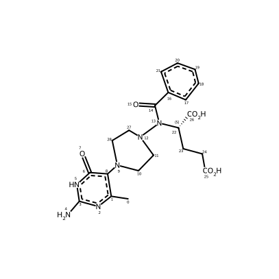 Cc1nc(N)[nH]c(=O)c1N1CCN(N(C(=O)c2ccccc2)[C@@H](CCC(=O)O)C(=O)O)CC1